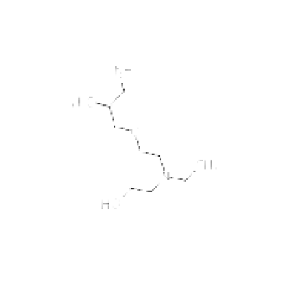 CCN(CCO)CCOCC(C)CN